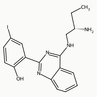 CC[C@H](N)CNc1nc(-c2cc(I)ccc2O)nc2ccccc12